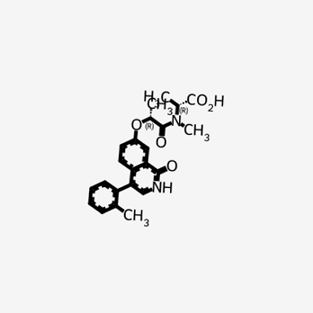 Cc1ccccc1-c1c[nH]c(=O)c2cc(O[C@H](C)C(=O)N(C)[C@H](C)C(=O)O)ccc12